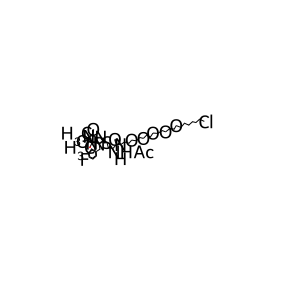 CC(=O)N[C@@H](CSc1nc2c(=O)n(C)c(=O)n(C)c2n1Cc1ccc(F)cc1)C(=O)NCCOCCOCCOCCOCCOCCCCCCCl